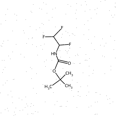 CC(C)(C)OC(=O)NC(F)C(F)F